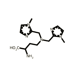 Cn1ccnc1CN(CCC(N)C(=O)O)Cc1nccn1C